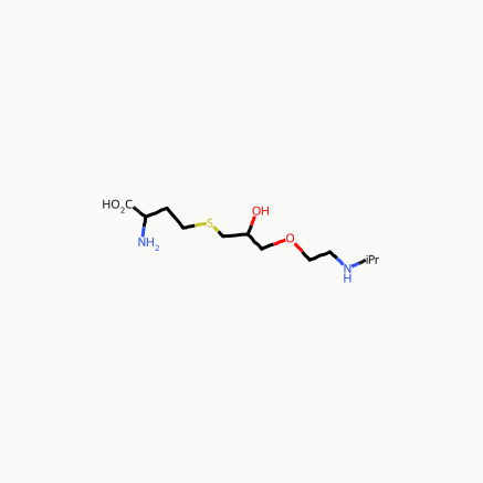 CC(C)NCCOCC(O)CSCCC(N)C(=O)O